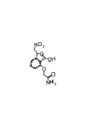 NC(=O)COc1cccc2c1B(O)OC2C[N+](=O)[O-]